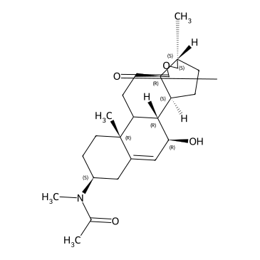 CC(=O)N(C)[C@H]1CC[C@@]2(C)C(=C[C@H](O)[C@@H]3C2CC[C@]24C(=O)O[C@@H](C)[C@H]2CC[C@@H]34)C1